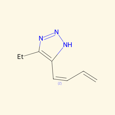 C=C/C=C\c1[nH]nnc1CC